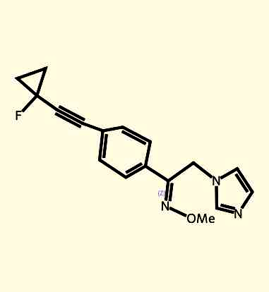 CO/N=C(\Cn1ccnc1)c1ccc(C#CC2(F)CC2)cc1